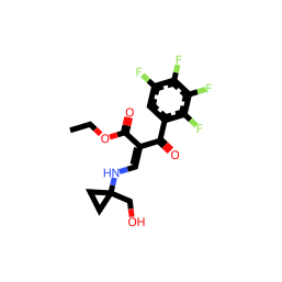 CCOC(=O)C(=CNC1(CO)CC1)C(=O)c1cc(F)c(F)c(F)c1F